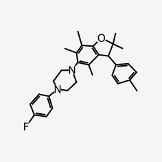 Cc1ccc(C2c3c(C)c(N4CCN(c5ccc(F)cc5)CC4)c(C)c(C)c3OC2(C)C)cc1